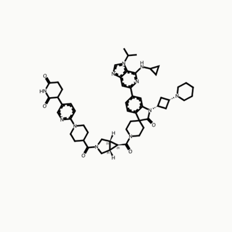 CC(C)n1cnc2cc(-c3ccc4c(c3)N([C@H]3C[C@@H](N5CCCCC5)C3)C(=O)C43CCN(C(=O)[C@H]4[C@@H]5CN(C(=O)C6CCN(c7ccc(C8CCC(=O)NC8=O)cn7)CC6)C[C@@H]54)CC3)nc(NC3CC3)c21